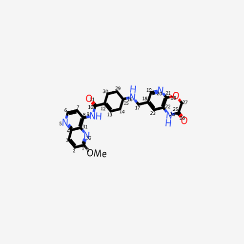 COc1ccc2nccc(NC(=O)C3=CCC(NCc4cnc5c(c4)NC(=O)CO5)CC3)c2n1